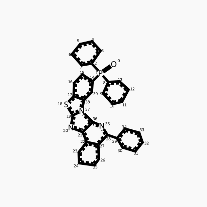 O=P(c1ccccc1)(c1ccccc1)c1ccc2sc3nc4c5ccccc5c(-c5ccccc5)nc4n3c2c1